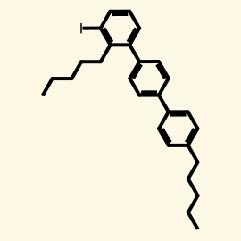 CCCCCc1ccc(-c2ccc(-c3cccc(I)c3CCCCC)cc2)cc1